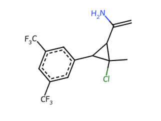 C=C(N)C1C(c2cc(C(F)(F)F)cc(C(F)(F)F)c2)C1(C)Cl